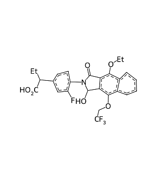 [CH2]CC(C(=O)O)c1ccc(N2C(=O)c3c(c(OCC(F)(F)F)c4ccccc4c3OCC)C2O)c(F)c1